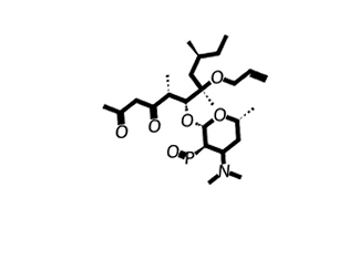 C=CCO[C@](C)(C[C@@H](C)CC)[C@H](O[C@@H]1O[C@H](C)CC(N(C)C)[C@H]1P=O)[C@@H](C)C(=O)CC(C)=O